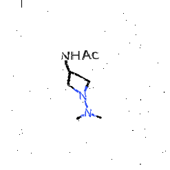 CC(=O)NC1CN(N(C)C)C1